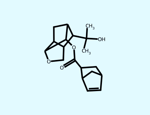 CC(C)(O)C1C2COC3C2CC1C3OC(=O)C1CC2C=CC1C2